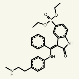 CCOP(=O)(OCC)c1ccc2c(c1)/C(=C(/Nc1ccc(CCNC)cc1)c1ccccc1)C(=O)N2